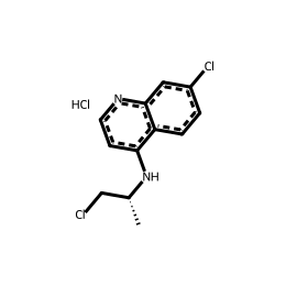 C[C@H](CCl)Nc1ccnc2cc(Cl)ccc12.Cl